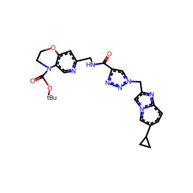 CC(C)(C)OC(=O)N1CCOc2cc(CNC(=O)c3cn(Cc4cn5cc(C6CC6)ccc5n4)nn3)ncc21